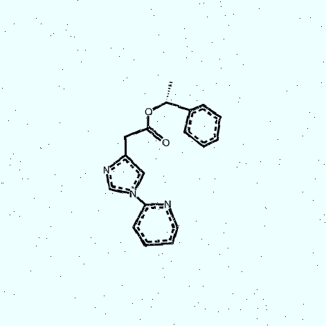 C[C@@H](OC(=O)Cc1cn(-c2ccccn2)cn1)c1ccccc1